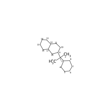 CC(C)(C1CCCCC1)C1CCC2CCCCC2C1